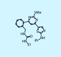 CCNC(=O)NCc1ccccc1-c1cc(-c2cnc(NC(C)C)s2)nc(SC)n1